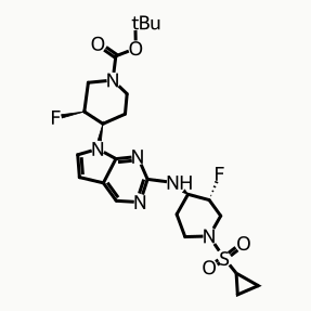 CC(C)(C)OC(=O)N1CC[C@@H](n2ccc3cnc(N[C@@H]4CCN(S(=O)(=O)C5CC5)C[C@H]4F)nc32)[C@@H](F)C1